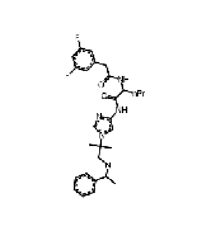 CCCC(NC(=O)Cc1cc(F)cc(F)c1)C(=O)Nc1cn(C(C)(C)CNC(C)c2ccccc2)cn1